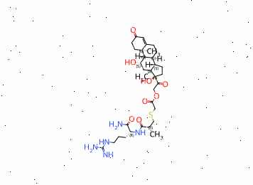 C[C@@H](CSCC(=O)OCC(=O)[C@@]1(O)CC[C@H]2[C@@H]3CCC4=CC(=O)CC[C@]4(C)[C@H]3[C@@H](O)C[C@@]21C)C(=O)N[C@H](CCCNC(=N)N)C(N)=O